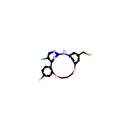 Fc1ccc2c(c1)OCCCOc1cc(CS)cc(c1)Nc1ncc(F)c-2n1